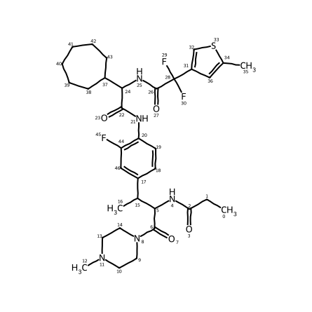 CCC(=O)NC(C(=O)N1CCN(C)CC1)C(C)c1ccc(NC(=O)C(NC(=O)C(F)(F)c2csc(C)c2)C2CCCCCC2)c(F)c1